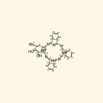 CC(C)(C)c1cc2c3nc4nc(nc5[nH]c(nc6nc(nc([nH]3)c2c(O)c1O)-c1ccccc1-6)c1ccccc51)-c1ccccc1-4